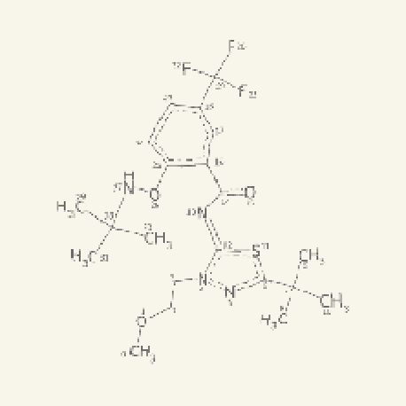 COCCn1nc(C(C)(C)C)sc1=NC(=O)c1cc(C(F)(F)F)ccc1ONC(C)(C)C